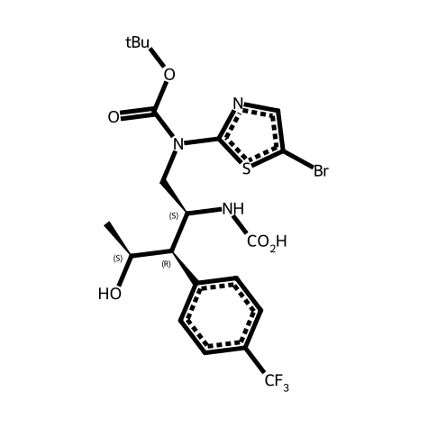 C[C@H](O)[C@H](c1ccc(C(F)(F)F)cc1)[C@@H](CN(C(=O)OC(C)(C)C)c1ncc(Br)s1)NC(=O)O